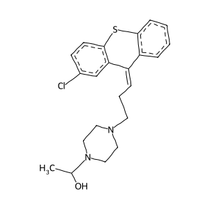 CC(O)N1CCN(CC/C=C2/c3ccccc3Sc3ccc(Cl)cc32)CC1